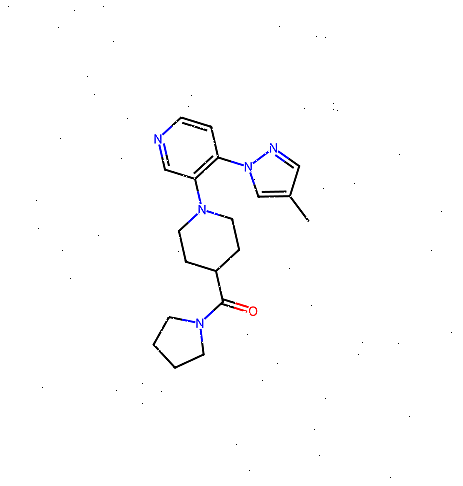 Cc1cnn(-c2ccncc2N2CCC(C(=O)N3CCCC3)CC2)c1